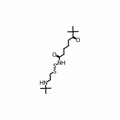 CC(C)(C)NCCSSNC(=O)CCCCC(=O)C(C)(C)C